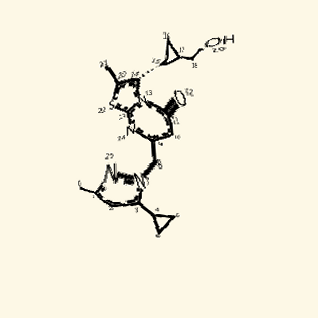 Cc1cc(C2CC2)n(Cc2cc(=O)n3c([C@@H]4C[C@H]4CO)c(C)sc3n2)n1